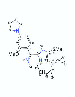 COc1cc(N2CCCC2)ccc1-c1ncc(C)n2c(N(C3CC3)C3CC3)c(SC)nc12